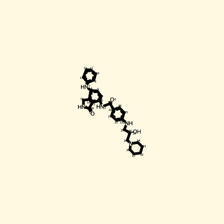 O=C(Nc1ccc(Nc2ccccc2)c2c1C(=O)NC2)c1ccc(NC[C@H](O)CN2CCCCC2)cc1